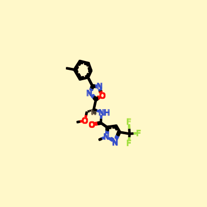 COC[C@@H](NC(=O)c1cc(C(F)(F)F)nn1C)c1nc(-c2cccc(C)c2)no1